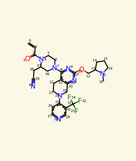 C=CC(=O)N1CCN(c2nc(OCC3CCCN3C)nc3c2CCN(c2ccncc2C(F)(F)F)C3)CC1CC#N